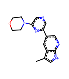 Cc1c[nH]c2ncc(-c3cncc(N4CCOCC4)n3)cc12